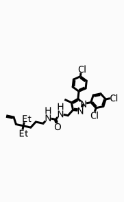 C=CCC(CC)(CC)CCCNC(=O)NCc1nn(-c2ccc(Cl)cc2Cl)c(-c2ccc(Cl)cc2)c1C